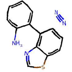 N#N.Nc1ccccc1-c1cccc2scnc12